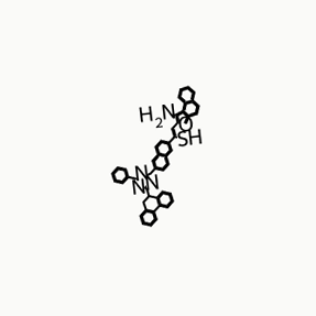 Nc1c(/C=C(\S)c2ccc3cc(-c4nc(-c5ccccc5)nc(C5Cc6ccccc6-c6ccccc65)n4)ccc3c2)oc2ccc3ccccc3c12